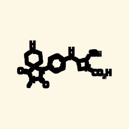 CN1C(=O)N(c2ccc(NC3CN(C(=O)O)C3C(C)(C)C)cc2)C2(CCNCC2)C1=O